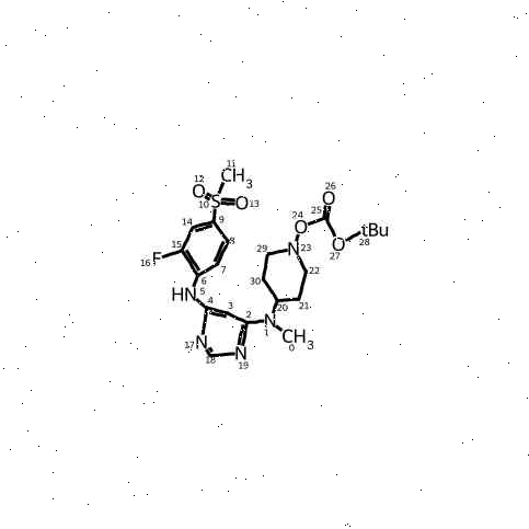 CN(c1cc(Nc2ccc(S(C)(=O)=O)cc2F)ncn1)C1CCN(OC(=O)OC(C)(C)C)CC1